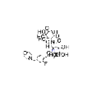 C=C(O)/C(O)=C1/C(=O)N(C2C(=O)NC(=O)C(O)(O)C2(O)O)C/C1=C(/O)OCc1ccc(CN2CCOCC2)cc1F